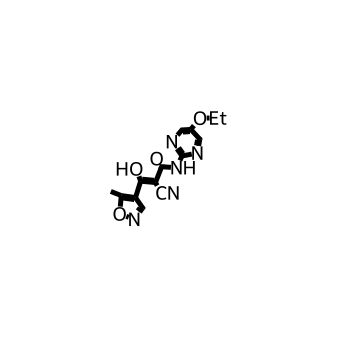 CCOc1cnc(NC(=O)/C(C#N)=C(\O)c2cnoc2C)nc1